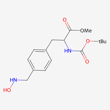 COC(=O)C(Cc1ccc(CNO)cc1)NC(=O)OC(C)(C)C